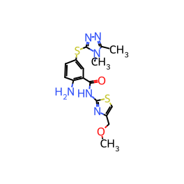 COCc1csc(NC(=O)c2cc(Sc3nnc(C)n3C)ccc2N)n1